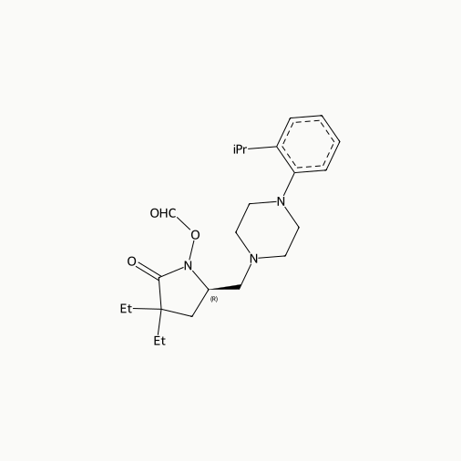 CCC1(CC)C[C@H](CN2CCN(c3ccccc3C(C)C)CC2)N(OC=O)C1=O